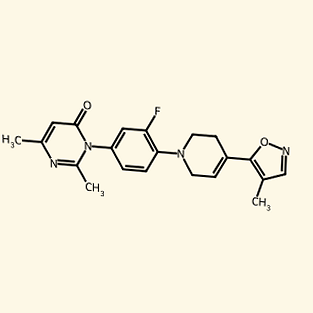 Cc1cc(=O)n(-c2ccc(N3CC=C(c4oncc4C)CC3)c(F)c2)c(C)n1